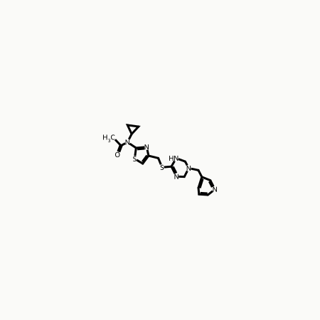 CC(=O)N(c1nc(CSC2=NCN(Cc3cccnc3)CN2)cs1)C1CC1